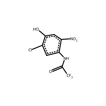 O=C(Nc1cc(Cl)c(O)cc1[N+](=O)[O-])C(F)(F)F